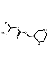 CC(C)C(NC(=O)OCC1CNCCN1)C(=O)O